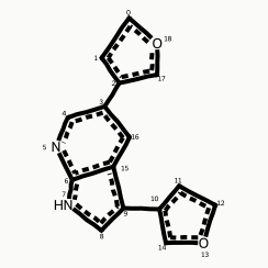 c1cc(-c2cnc3[nH]cc(-c4ccoc4)c3c2)co1